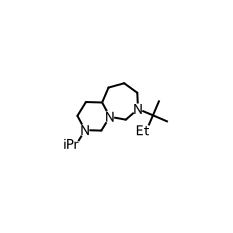 CCC(C)(C)N1CCCC2CCN(C(C)C)CN2C1